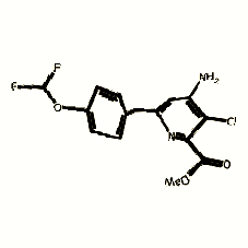 COC(=O)c1nc(-c2ccc(OC(F)F)cc2)cc(N)c1Cl